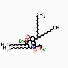 CCCCCCCCCCCCC(CCCCCCCCCC)CC1CCC(=O)C(c2ccc(Br)o2)=c2cc3c(cc21)=C(c1ccc(Br)o1)C(=O)N3CC(CCCCCCCCCC)CCCCCCCCCCCC